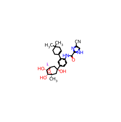 CC1(C)CC=C(c2cc([C@@]3(O)C[C@@]4(I)O[C@@](C)(C3)[C@H](O)[C@@H]4O)ccc2NC(=O)c2nc(C#N)c[nH]2)CC1